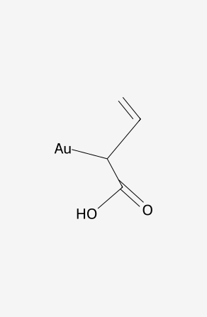 C=C[CH]([Au])C(=O)O